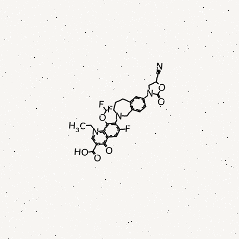 CCn1cc(C(=O)O)c(=O)c2cc(F)c(N3CCCc4cc(N5CC(C#N)OC5=O)ccc4C3)c(OC(F)F)c21